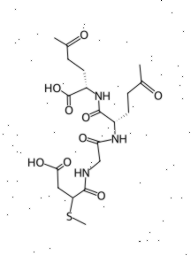 CSC(CC(=O)O)C(=O)NCC(=O)N[C@@H](CCC(C)=O)C(=O)N[C@@H](CCC(C)=O)C(=O)O